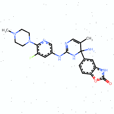 CC1=CN=C(Nc2cnc(N3CCN(C)CC3)c(F)c2)NC1(N)c1ccc2oc(=O)[nH]c2c1